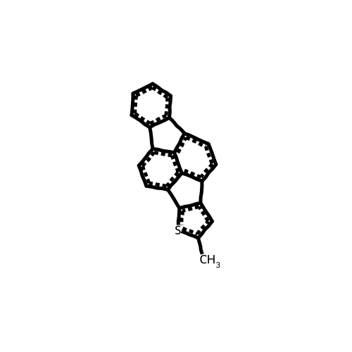 Cc1cc2c(s1)-c1ccc3c4c(ccc-2c14)-c1ccccc1-3